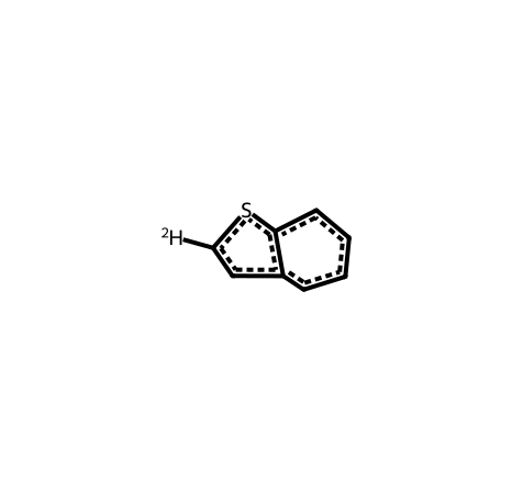 [2H]c1cc2ccccc2s1